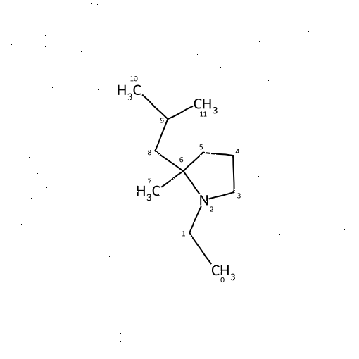 CCN1CCCC1(C)CC(C)C